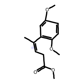 COC(=O)C/C=C(/C)c1cc(OC)ccc1OC